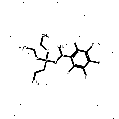 CCC[Si](OCC)(OCC)OC(C)c1c(F)c(F)c(F)c(F)c1F